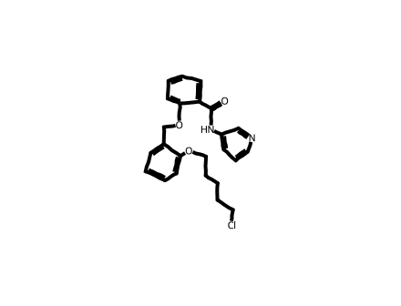 O=C(Nc1cccnc1)c1ccccc1OCc1ccccc1OCCCCCCl